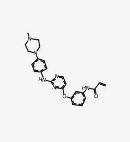 C=CC(=O)Nc1cccc(Oc2ccnc(Nc3ccc(N4CCN(C)CC4)cc3)n2)c1